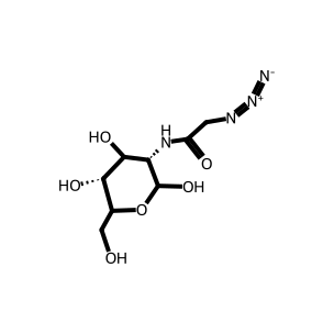 [N-]=[N+]=NCC(=O)N[C@@H]1C(O)OC(CO)[C@H](O)C1O